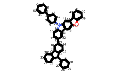 c1ccc(-c2ccc(-n3c4ccc(-c5ccc6c(c5)-c5ccccc5C6c5ccccc5)cc4c4cc5oc6ccccc6c5cc43)cc2)cc1